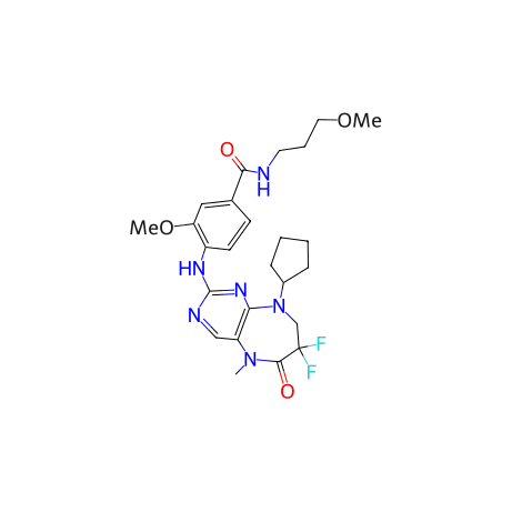 COCCCNC(=O)c1ccc(Nc2ncc3c(n2)N(C2CCCC2)CC(F)(F)C(=O)N3C)c(OC)c1